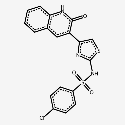 O=c1[nH]c2ccccc2cc1-c1csc(NS(=O)(=O)c2ccc(Cl)cc2)n1